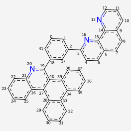 c1cc(-c2ccc3ccc4cccnc4c3n2)cc(-c2nc3ccccc3c3c4ccccc4c4ccccc4c23)c1